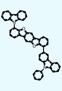 c1ccc(-n2c3ccccc3c3cc(-c4cccc5c4oc4cc6c(cc45)oc4c(-n5c7ccccc7c7ccccc75)cccc46)ccc32)cc1